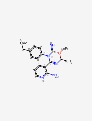 CCCOC(C)/N=C(/c1cccnc1N)N(C=N)c1ccc(COC(C)=O)cc1